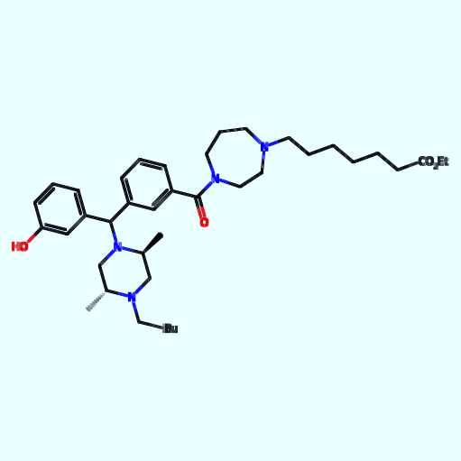 CCOC(=O)CCCCCCN1CCCN(C(=O)c2cccc(C(c3cccc(O)c3)N3C[C@@H](C)N(CC(C)CC)C[C@@H]3C)c2)CC1